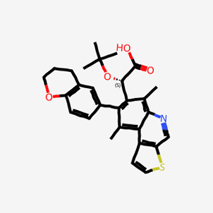 Cc1c([C@H](OC(C)(C)C)C(=O)O)c(-c2ccc3c(c2)CCCO3)c(C)c2c1ncc1sccc12